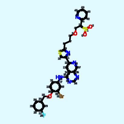 O=S(=O)=C(COCCCc1nc(-c2cc3c(Nc4ccc(OCc5cccc(F)c5)c(Br)c4)ncnc3cn2)cs1)c1ccccn1